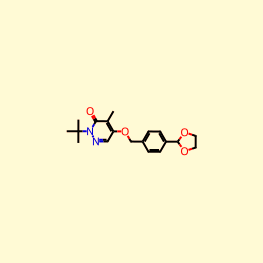 Cc1c(OCc2ccc(C3OCCO3)cc2)cnn(C(C)(C)C)c1=O